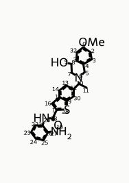 COc1ccc(CN(CCO)C(C)c2ccc3cc(C(=O)Nc4ccccc4N)sc3c2)cc1